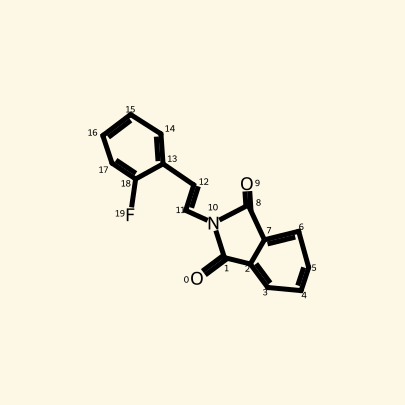 O=C1c2ccccc2C(=O)N1C=Cc1ccccc1F